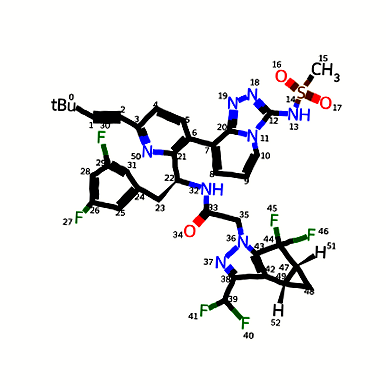 CC(C)(C)C#Cc1ccc(-c2cccn3c(NS(C)(=O)=O)nnc23)c([C@H](Cc2cc(F)cc(F)c2)NC(=O)Cn2nc(C(F)F)c3c2C(F)(F)[C@@H]2C[C@H]32)n1